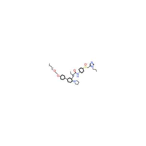 CCCCOCCOc1ccc(-c2ccc(N3CCCC3)c(/C=C(\CC)C(=O)Nc3ccc([S+]([O-])Cc4cncn4CCC)cc3)c2)cc1